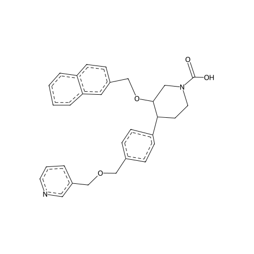 O=C(O)N1CCC(c2ccc(COCc3cccnc3)cc2)C(OCc2ccc3ccccc3c2)C1